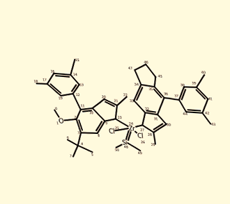 COc1c(C(C)(C)C)cc2c(c1-c1cc(C)cc(C)c1)C=C(C)[CH]2[Zr]([Cl])([Cl])([CH]1C(C)=Cc2c1cc1c(c2-c2cc(C)cc(C)c2)CCC1)=[Si](C)C